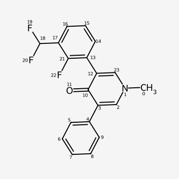 Cn1cc(-c2ccccc2)c(=O)c(-c2cccc(C(F)F)c2F)c1